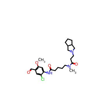 COc1cc(NC(=O)CCCCN(C)C(=O)CCN2CC3CCCC3C2)c(Cl)cc1C=O